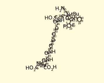 CC(C)(C)[C@H](c1cc(-c2cc(F)ccc2F)cn1Cc1ccccc1)N(CCCN)C(=O)CSC[C@H](NC(=O)CCOCCOCCOCCOCCNC(=O)CCNC(=O)CC(SC[C@H](N)C(=O)O)C(=O)O)C(=O)O